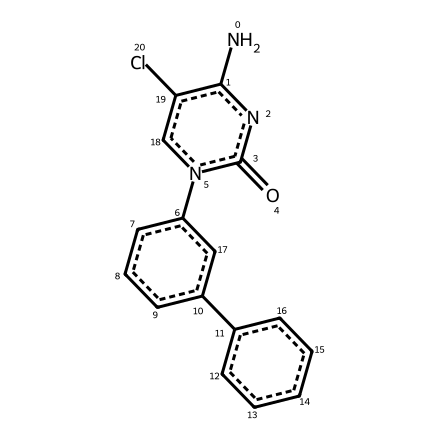 Nc1nc(=O)n(-c2cccc(-c3ccccc3)c2)cc1Cl